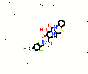 Cc1cc(F)c(CNC(=O)c2cn3c(c(O)c2=O)C(=O)N2C[C@@H]3CSc3ccccc32)c(F)c1